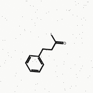 O=C(I)CCc1ccccc1